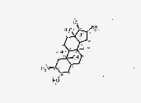 C[C@]12CC[C@H]3[C@@H](CCC4C[C@H](O)[C@@H](N)C[C@@]43C)[C@@H]1C[C@H](N)[C@@H]2O